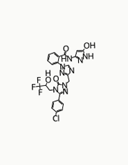 O=C(Nc1cc(O)[nH]n1)c1ccccc1-n1cnc(Cn2nc(-c3ccc(Cl)cc3)n(CC(O)C(F)(F)F)c2=O)n1